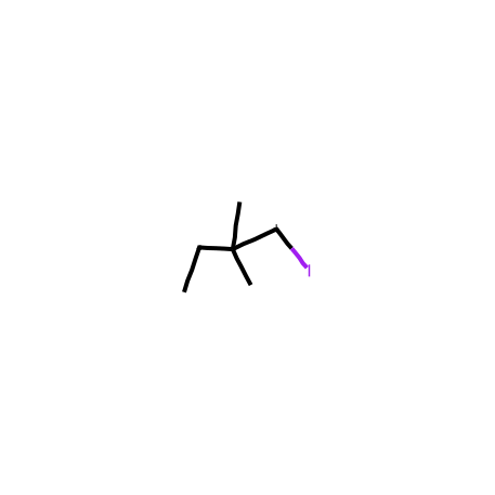 CCC(C)(C)[CH]I